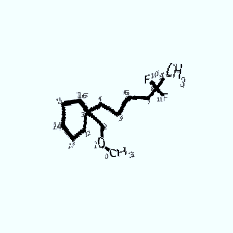 COCC1(CCCCC(C)(F)F)CCCCC1